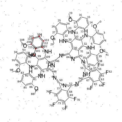 COc1ccccc1Nc1c(Nc2ccccc2OC)c(Nc2ccccc2OC)c2c(c1Nc1ccccc1OC)-c1nc-2nc2[nH]c(nc3nc(nc4[nH]c(n1)c1c(F)c(F)c(F)c(F)c41)-c1c(F)c(F)c(F)c(F)c1-3)c1c(Nc3ccccc3OC)c(Nc3ccccc3OC)c(Nc3ccccc3OC)c(Nc3ccccc3OC)c21